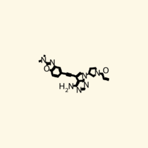 C=CC(=O)N1CC[C@H](n2cc(C#Cc3ccc4oc(N(C)C)nc4c3)c3c(N)ncnc32)C1